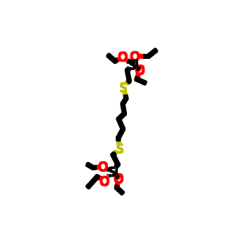 CCO[Si](CCSCCCCCCSCC[Si](OCC)(OCC)OCC)(OCC)OCC